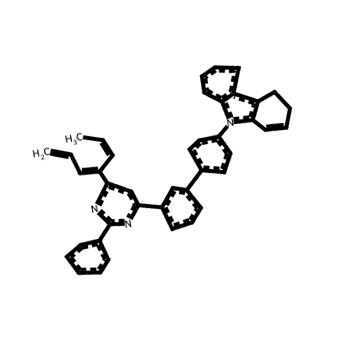 C=C/C=C(\C=C/C)c1cc(-c2cccc(-c3ccc(-n4c5c(c6ccccc64)CCC=C5)cc3)c2)nc(-c2ccccc2)n1